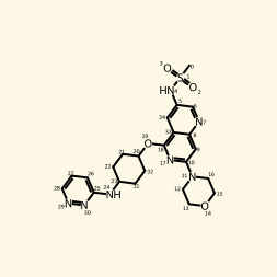 CS(=O)(=O)Nc1cnc2cc(N3CCOCC3)nc(OC3CCC(Nc4cccnn4)CC3)c2c1